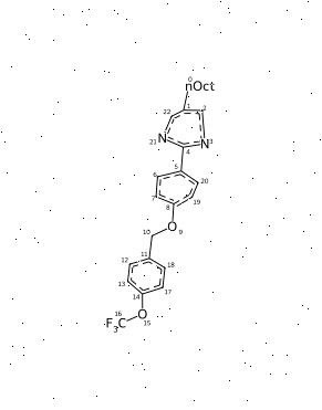 CCCCCCCCc1cnc(-c2ccc(OCc3ccc(OC(F)(F)F)cc3)cc2)nc1